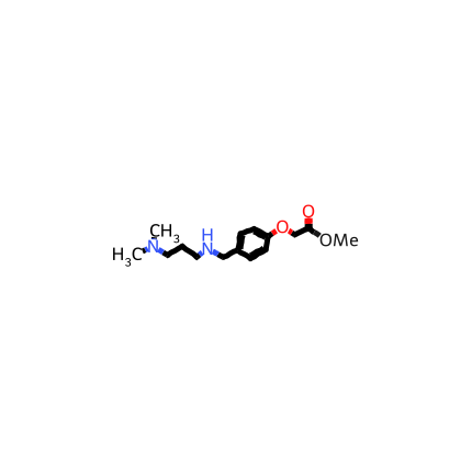 COC(=O)COc1ccc(CNCCCN(C)C)cc1